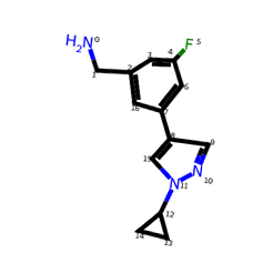 NCc1cc(F)cc(-c2cnn(C3CC3)c2)c1